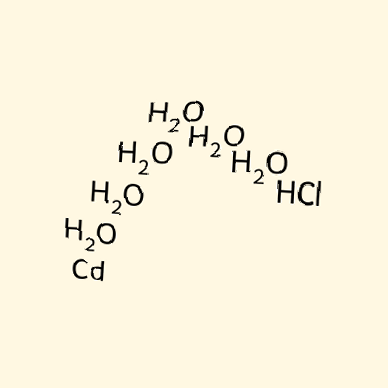 Cl.O.O.O.O.O.O.[Cd]